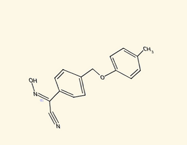 Cc1ccc(OCc2ccc(/C(C#N)=N\O)cc2)cc1